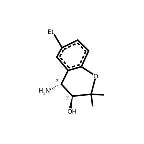 CCc1ccc2c(c1)[C@@H](N)[C@H](O)C(C)(C)O2